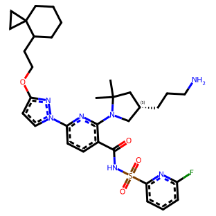 CC1(C)C[C@H](CCCN)CN1c1nc(-n2ccc(OCCC3CCCCC34CC4)n2)ccc1C(=O)NS(=O)(=O)c1cccc(F)n1